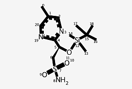 Cc1cnc([C@H](CS(N)(=O)=O)O[Si](C)(C)C(C)(C)C)nc1